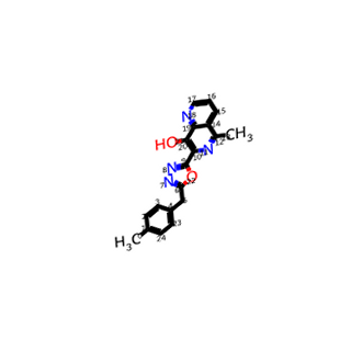 Cc1ccc(Cc2nnc(-c3nc(C)c4cccnc4c3O)o2)cc1